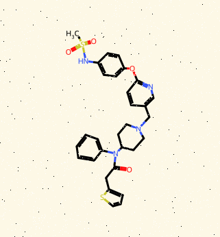 CS(=O)(=O)Nc1ccc(Oc2ccc(CN3CCC(N(C(=O)Cc4cccs4)c4ccccc4)CC3)cn2)cc1